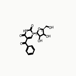 O=C(c1ccccc1)c1cn([C@H]2O[C@@H](CO)C(O)C2O)c(=O)[nH]c1=O